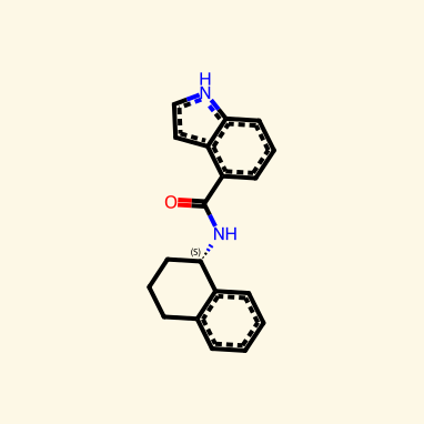 O=C(N[C@H]1CCCc2ccccc21)c1cccc2[nH]ccc12